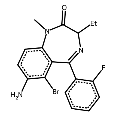 CCC1N=C(c2ccccc2F)c2c(ccc(N)c2Br)N(C)C1=O